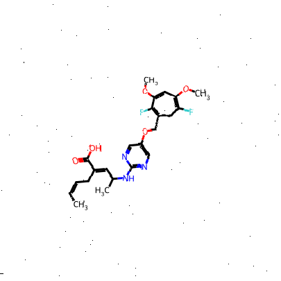 C/C=C\C/C(=C\C(C)Nc1ncc(OCC2=C(F)C(OC)=CC(OC)=C(F)C2)cn1)C(=O)O